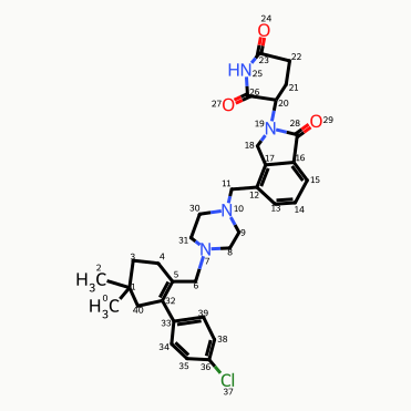 CC1(C)CCC(CN2CCN(Cc3cccc4c3CN(C3CCC(=O)NC3=O)C4=O)CC2)=C(c2ccc(Cl)cc2)C1